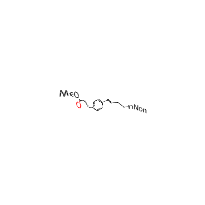 CCCCCCCCCCC/C=C/c1ccc(C=CC(=O)OC)cc1